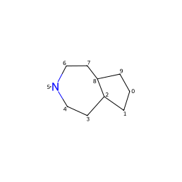 C1CC2CC[N]CCC2C1